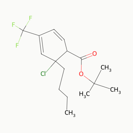 CCCCC1(Cl)C=C(C(F)(F)F)C=CC1C(=O)OC(C)(C)C